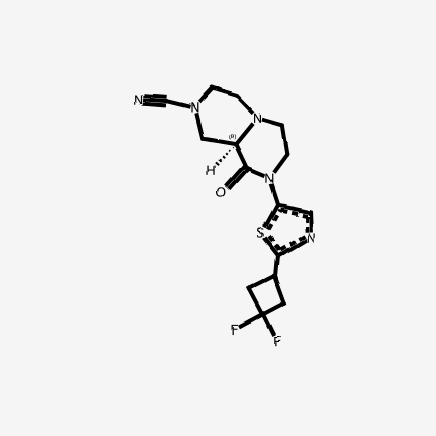 N#CN1CCN2CCN(c3cnc(C4CC(F)(F)C4)s3)C(=O)[C@H]2C1